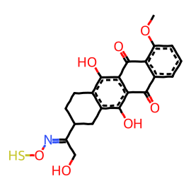 COc1cccc2c1C(=O)c1c(O)c3c(c(O)c1C2=O)CC(/C(CO)=N/OS)CC3